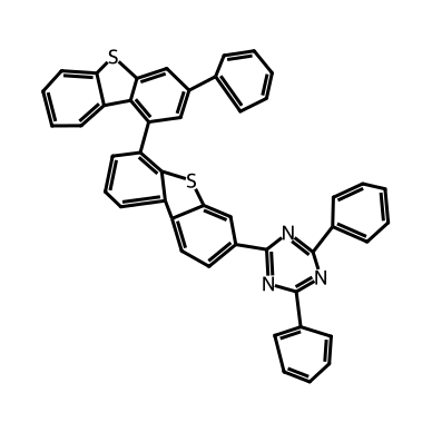 c1ccc(-c2cc(-c3cccc4c3sc3cc(-c5nc(-c6ccccc6)nc(-c6ccccc6)n5)ccc34)c3c(c2)sc2ccccc23)cc1